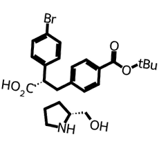 CC(C)(C)OC(=O)c1ccc(C[C@H](C(=O)O)c2ccc(Br)cc2)cc1.OC[C@H]1CCCN1